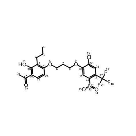 CCCc1c(OCCCOc2cc([N+](=O)[O-])c(C(F)(F)F)cc2Cl)ccc(C(C)=O)c1O